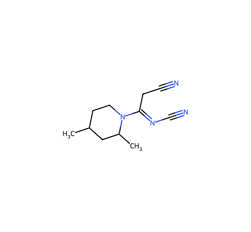 CC1CCN(C(CC#N)=NC#N)C(C)C1